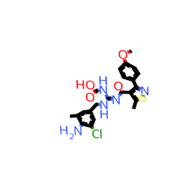 COc1ccc(-c2nsc(C)c2C(=O)/N=C(/NCc2cc(C)c(N)c(Cl)c2)NC(=O)O)cc1